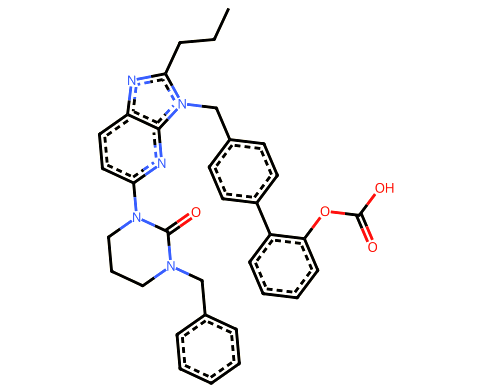 CCCc1nc2ccc(N3CCCN(Cc4ccccc4)C3=O)nc2n1Cc1ccc(-c2ccccc2OC(=O)O)cc1